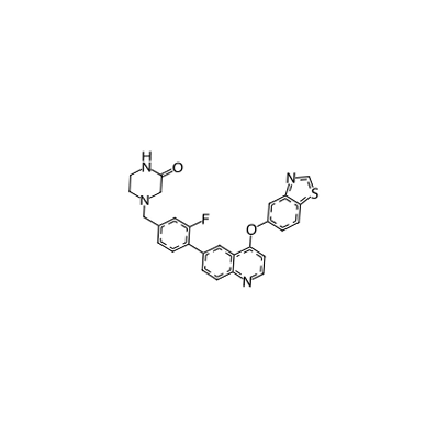 O=C1CN(Cc2ccc(-c3ccc4nccc(Oc5ccc6scnc6c5)c4c3)c(F)c2)CCN1